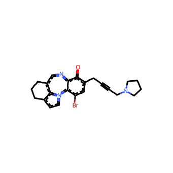 O=c1c(CC#CCN2CCCC2)cc(Br)c2n3ccc4c3c(cnc1-2)CCC4